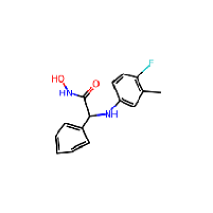 Cc1cc(NC(C(=O)NO)c2ccccc2)ccc1F